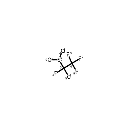 [O-][S+](Cl)C(F)(Cl)C(F)(F)F